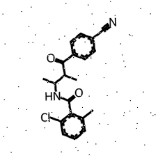 Cc1cccc(Cl)c1C(=O)NC(C)C(C)C(=O)c1ccc(C#N)cc1